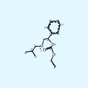 CCOC(=O)OC(COCC(C)C)c1ccccc1